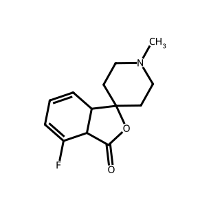 CN1CCC2(CC1)OC(=O)C1C(F)=CC=CC12